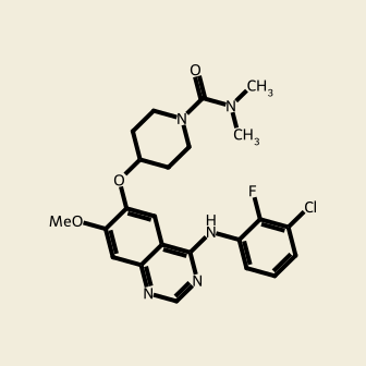 COc1cc2ncnc(Nc3cccc(Cl)c3F)c2cc1OC1CCN(C(=O)N(C)C)CC1